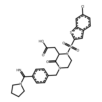 N=C(c1ccc(CN2CCN(S(=O)(=O)c3cc4ccc(Cl)cc4s3)C(CC(=O)O)C2=O)cc1)N1CCCC1